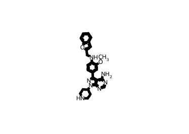 COc1cc(-c2nn(C3CCNCC3)c3ncnc(N)c23)ccc1NCc1cc2ccccc2o1